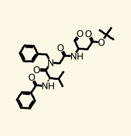 CC(C)[C@H](NC(=O)c1ccccc1)C(=O)N(CC(=O)NC(C=O)CC(=O)OC(C)(C)C)Cc1ccccc1